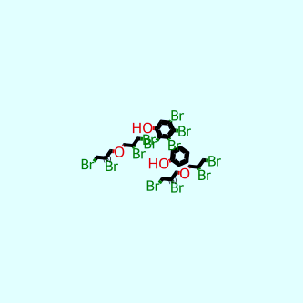 BrCC(Br)COC[C@H](Br)CBr.BrCC(Br)COC[C@H](Br)CBr.Oc1cc(Br)c(Br)c(Br)c1Br.Oc1ccccc1